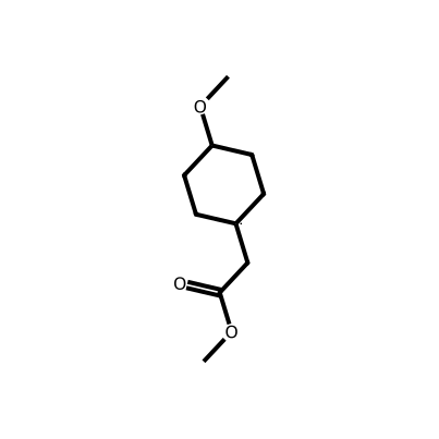 COC(=O)C[C]1CCC(OC)CC1